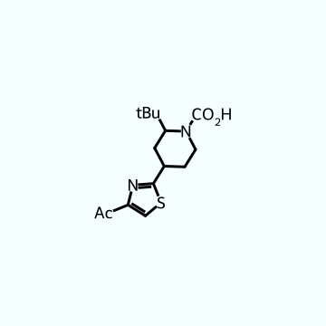 CC(=O)c1csc(C2CCN(C(=O)O)C(C(C)(C)C)C2)n1